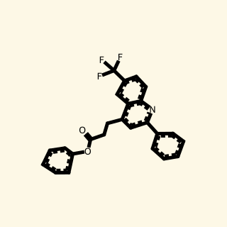 O=C(CCc1cc(-c2ccccc2)nc2ccc(C(F)(F)F)cc12)Oc1ccccc1